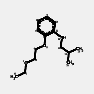 CCOCCOc1ccccc1NCC(C)C